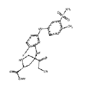 COC(=O)[C@@H]1C[C@@](Nc2nc(Nc3ccc(C)c(S(N)(=O)=O)c3)ncc2F)(C(=O)CC#N)CN1